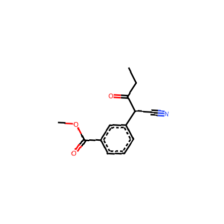 CCC(=O)C(C#N)c1cccc(C(=O)OC)c1